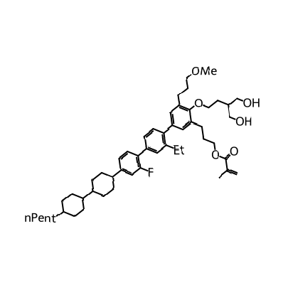 C=C(C)C(=O)OCCCc1cc(-c2ccc(-c3ccc(C4CCC(C5CCC(CCCCC)CC5)CC4)cc3F)cc2CC)cc(CCCOC)c1OCCC(CO)CO